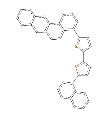 c1ccc2cc3c(ccc4c(-c5ccc(-c6ccc(-c7cccc8ccccc78)s6)s5)cccc43)cc2c1